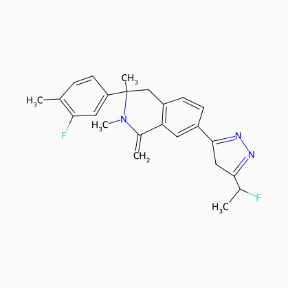 C=C1c2cc(C3=NN=C(C(C)F)C3)ccc2CC(C)(c2ccc(C)c(F)c2)N1C